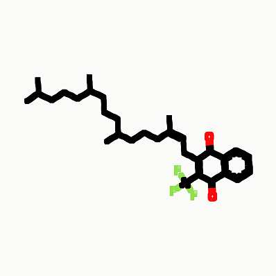 CC(=CCC1=C(C(F)(F)F)C(=O)c2ccccc2C1=O)CCCC(C)CCCC(C)CCCC(C)C